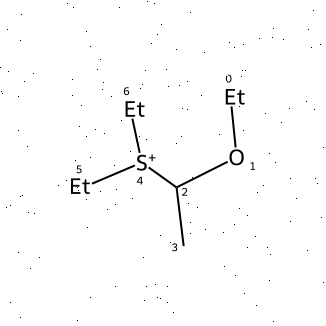 CCOC(C)[S+](CC)CC